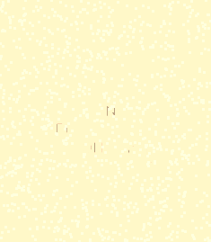 C=CN1CCCC1.CCO